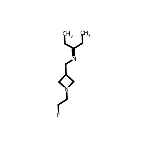 CCC(CC)=NCC1CN(CCF)C1